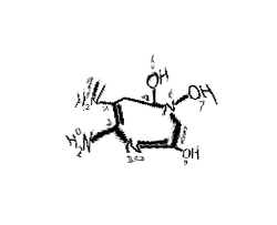 NC1=C(N)C(O)N(O)C(O)=N1